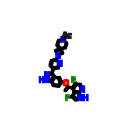 CC(=O)N1CCC2(CC1)CN(c1ccc(-c3n[nH]c4ccc(OC(C)c5c(F)cnc6[nH]cc(F)c56)cc34)cn1)C2